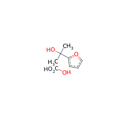 CC(C)(O)c1ccco1.O=C(O)O